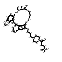 C[C@H]1C(=O)NCCCOc2cc3c(ncnc3cc2OCCCN2CCN(C(=O)CCS(C)(=O)=O)CC2)Nc2c(ccc3c2OCO3)CN1C